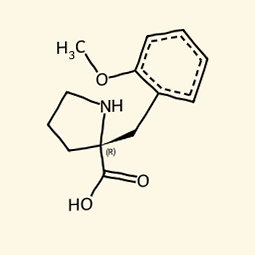 COc1ccccc1C[C@@]1(C(=O)O)CCCN1